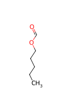 CCCCCOC=O